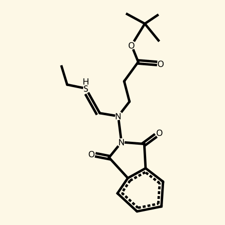 CC[SH]=CN(CCC(=O)OC(C)(C)C)N1C(=O)c2ccccc2C1=O